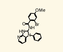 COc1ccc(C(=O)NC2Nc3ncccc3N2c2ccccc2)c(Br)c1